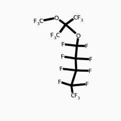 FC(F)(F)OC(OC(F)(F)C(F)(F)C(F)(F)C(F)(F)C(F)(F)F)(C(F)(F)F)C(F)(F)F